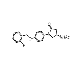 CC(=O)NC1CC(=O)N(c2ccc(OCc3ccccc3F)cc2)C1